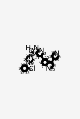 Nc1ncc(-c2ccc3nccc(-c4ccncc4)c3c2)cc1[S+]([O-])N1CCN(c2ccccc2Cl)CC1